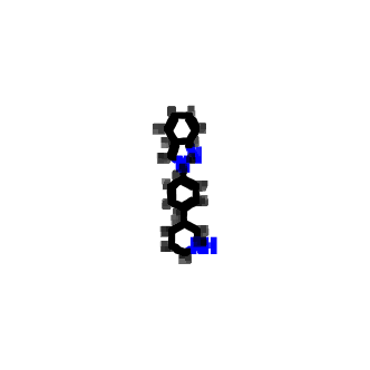 c1ccc2nn(-c3ccc(C4CCCNC4)cc3)cc2c1